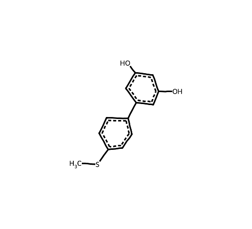 CSc1ccc(-c2cc(O)cc(O)c2)cc1